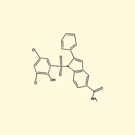 NC(=O)c1ccc2c(c1)cc(-c1ccccc1)n2S(=O)(=O)c1cc(Cl)cc(Cl)c1O